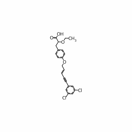 CCOC(Cc1ccc(OC/C=C/C#Cc2cc(Cl)cc(Cl)c2)cc1)C(=O)O